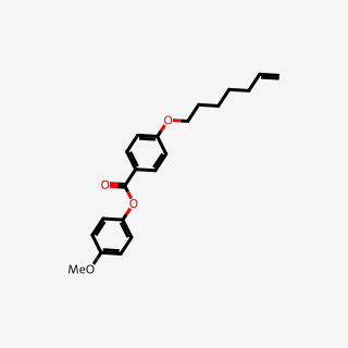 C=CCCCCCOc1ccc(C(=O)Oc2ccc(OC)cc2)cc1